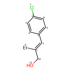 CC/C(=C\c1ccc(Cl)cc1)CO